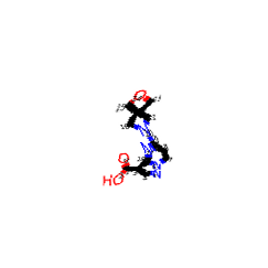 O=C(O)c1cnn2ccc(N3CC4(COC4)C3)nc12